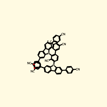 N#Cc1ccc(-c2ccc3c4ccc(-c5ccc(C#N)cc5)cc4n(-c4ccc(-c5cc(C#N)cc(C(F)(F)F)c5)c(-n5c6cc(-c7ccc(C#N)cc7)ccc6c6ccc(-c7ccc(C#N)cc7)cc65)c4C#N)c3c2)cc1